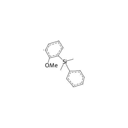 COc1[c]cccc1[Si](C)(C)c1ccccc1